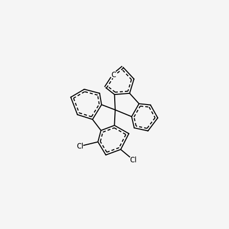 Clc1cc(Cl)c2c(c1)C1(c3ccccc3-c3ccccc31)c1ccccc1-2